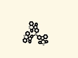 c1ccc2c(c1)Sc1ccccc1C21c2ccccc2-c2cc(N(c3ccc4c(c3)-c3ccccc3C43c4ccccc4Sc4ccccc43)c3ccc4c(c3)C3(c5ccccc5Sc5ccccc53)c3ccccc3-4)ccc21